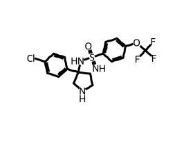 N=S(=O)(NC1(c2ccc(Cl)cc2)CCNC1)c1ccc(OC(F)(F)F)cc1